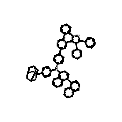 c1ccc(-c2oc3c4ccccc4c4ccc(-c5ccc(N(c6ccc(C78CC9CC(CC(C9)C7)C8)cc6)c6ccc(-c7cccc8ccccc78)c7ccccc67)cc5)cc4c3c2-c2ccccc2)cc1